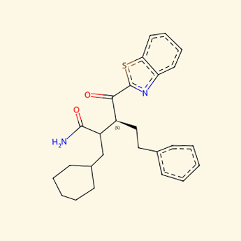 NC(=O)C(CC1CCCCC1)[C@H](CCc1ccccc1)C(=O)c1nc2ccccc2s1